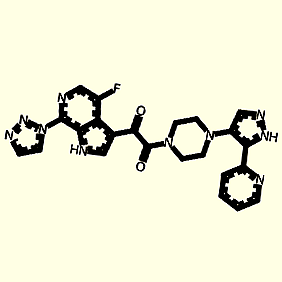 O=C(C(=O)N1CCN(c2cn[nH]c2-c2ccccn2)CC1)c1c[nH]c2c(-n3ccnn3)ncc(F)c12